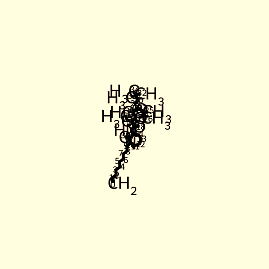 C=CCCCCCCCCN1CCCCC(NC(=O)[C@H](OC)[C@@H]2OC(C)(C)O[C@H](C=CC(C)(C)C)[C@@H]2O)C1=O